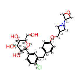 OC[C@H]1O[C@@H](c2ccc(Cl)c(Cc3ccc(OCC4CN(C5COC5)C4)cc3)c2)[C@H](O)[C@@H](O)[C@@H]1O